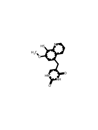 COc1cc(Cc2c[nH]c(=O)[nH]c2=O)c2cccnc2c1S